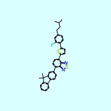 CC(C)CCc1ccc(-c2ccc(-c3ccc(-c4ccc5c(c4)C(C)(C)c4ccccc4-5)c4nsnc34)s2)c(F)c1